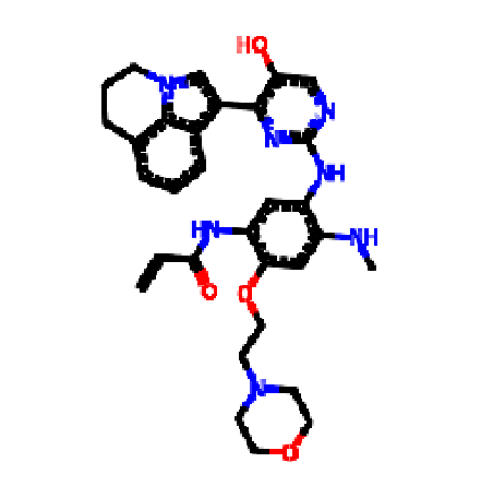 C=CC(=O)Nc1cc(Nc2ncc(O)c(-c3cn4c5c(cccc35)CCC4)n2)c(NC)cc1OCCN1CCOCC1